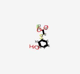 O=C(CSc1cccc(O)c1)OF